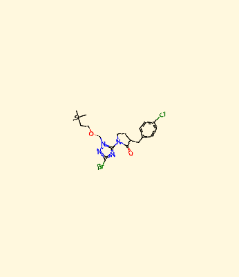 C[Si](C)(C)CCOCn1nc(Br)nc1N1CCC(Cc2ccc(Cl)cc2)C1=O